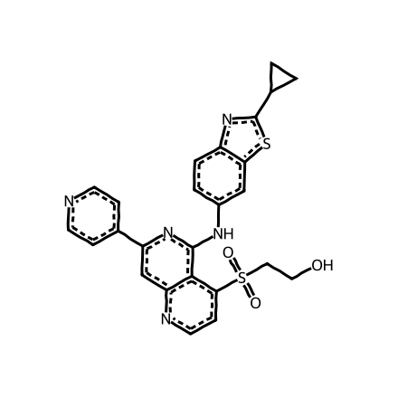 O=S(=O)(CCO)c1ccnc2cc(-c3ccncc3)nc(Nc3ccc4nc(C5CC5)sc4c3)c12